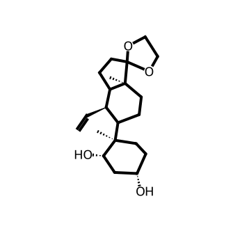 C=C[C@H]1C2CCC3(OCCO3)[C@@]2(C)CCC1[C@@]1(C)CC[C@H](O)C[C@@H]1O